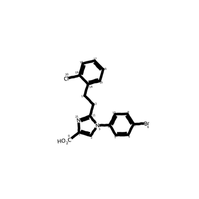 O=C(O)c1cn(-c2ccc(Br)cc2)c(CCc2ccccc2Cl)n1